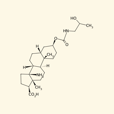 CC(O)CNC(=O)O[C@H]1CC[C@@]2(C)[C@H](CC[C@@H]3[C@@H]2CC[C@]2(C)[C@@H](C(=O)O)CC[C@]32N)C1